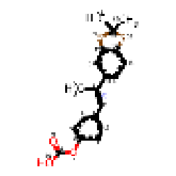 C/C(=C\c1ccc(OC(=O)O)cc1)c1ccc2c(c1)SC(C)(C)S2